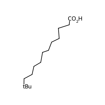 CC(C)(C)CCCCCCCCCCC(=O)O